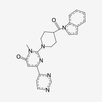 Cn1c(N2CCC(C(=O)n3ccc4ccccc43)CC2)nc(-c2ccncn2)cc1=O